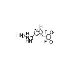 COc1cc(OC)c(F)c(Cc2c[nH]c3ncc(/C(C=N)=C/NC4CNC4)cc23)c1F